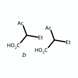 CCC(C(C)=O)C(=O)O.CCC(C(C)=O)C(=O)O.[Zr]